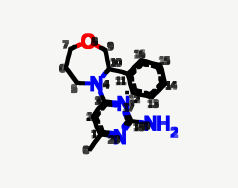 Cc1cc(N2CCCOCC2c2[c]cccc2)nc(N)n1